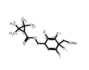 COCC1(F)C(F)=CC(COC(=O)C2C(C)(C)C2(C)C)C(F)=C1F